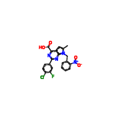 Cc1cc2c(C(=O)O)nc(-c3ccc(Cl)c(F)c3)nc2n1Cc1ccccc1[N+](=O)[O-]